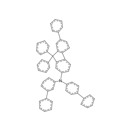 c1ccc(-c2ccc(N(c3cccc(-c4ccccc4)c3)c3ccc4c(c3)C(c3ccccc3)(c3ccccc3)c3cc(-c5ccccc5)ccc3-4)cc2)cc1